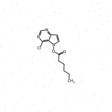 CCCCCC(=O)On1ccc2ncnc(Cl)c21